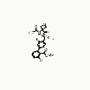 COC(=O)c1c(Cl)cccc1-c1ccc([C@@H](C)NC(=O)C2(NC(=O)C(F)(F)F)COC2)c(F)c1